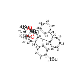 CC(C)(C)c1ccc2c(c1)C1(c3cc(C(C)(C)C)ccc3-2)c2ccccc2-c2cccc(B3OC(C)(C)C(C)(C)O3)c21